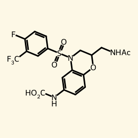 CC(=O)NCC1CN(S(=O)(=O)c2ccc(F)c(C(F)(F)F)c2)c2cc(NC(=O)O)ccc2O1